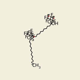 CSCCCCCCCCCCC(OC(C(F)(F)F)(C(F)(F)F)C(F)(F)F)SCCCCCCCCCCC(O)OC(C(F)(F)F)(C(F)(F)F)C(F)(F)F